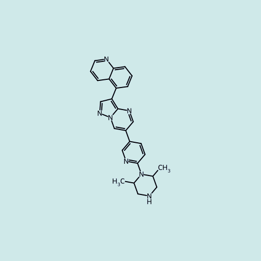 CC1CNCC(C)N1c1ccc(-c2cnc3c(-c4cccc5ncccc45)cnn3c2)cn1